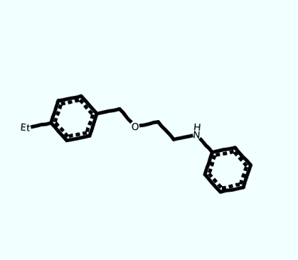 CCc1ccc(COCCNc2ccccc2)cc1